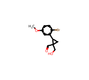 COc1ccc(Br)c(C2CC2(C=O)CO)c1